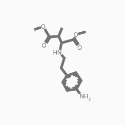 COC(=O)C(C)C(NCCc1ccc(N)cc1)C(=O)OC